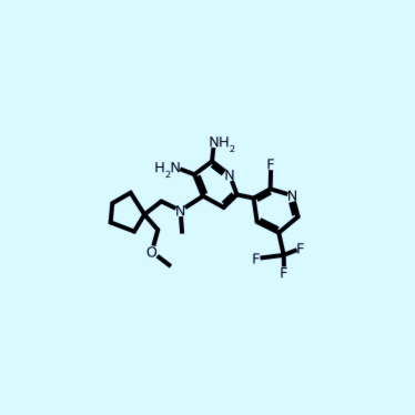 COCC1(CN(C)c2cc(-c3cc(C(F)(F)F)cnc3F)nc(N)c2N)CCCC1